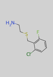 NCCSCc1c(F)cccc1Cl